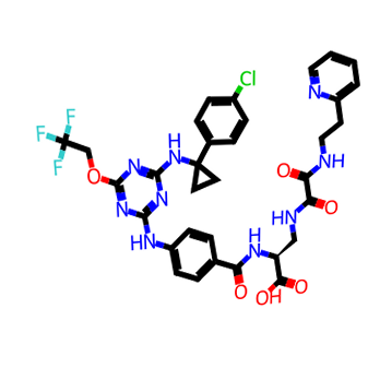 O=C(NCCc1ccccn1)C(=O)NC[C@H](NC(=O)c1ccc(Nc2nc(NC3(c4ccc(Cl)cc4)CC3)nc(OCC(F)(F)F)n2)cc1)C(=O)O